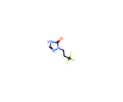 O=c1[nH]cnn1CCC(F)(F)F